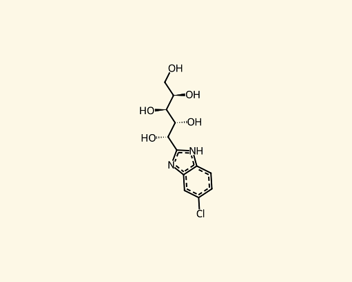 OC[C@@H](O)[C@H](O)[C@H](O)[C@@H](O)c1nc2cc(Cl)ccc2[nH]1